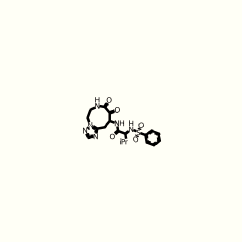 CC(C)C(NS(=O)(=O)c1ccccc1)C(=O)NC1Cc2ncnn2CCNC(=O)C1=O